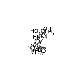 CC(O)(C(=O)O)c1cccc(Nc2ccc(-c3c4cccc(C(F)(F)F)c4nn3Cc3ccccc3)cc2)c1